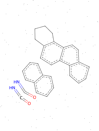 N=C=O.N=C=O.c1ccc2c(c1)ccc1c3c(ccc12)CCCC3.c1ccc2ccccc2c1